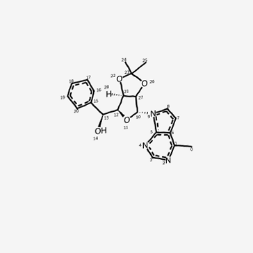 Cc1ncnc2c1ccn2[C@@H]1O[C@@H]([C@@H](O)c2ccccc2)[C@H]2OC(C)(C)OC12